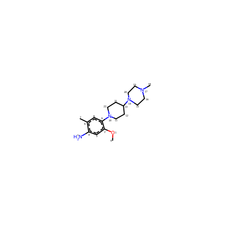 COc1cc(N)c(C)cc1N1CCC(N2CCN(C)CC2)CC1